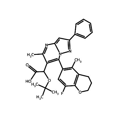 Cc1nc2cc(-c3ccccc3)nn2c(-c2cc(F)c3c(c2C)CCCO3)c1C(OC(C)(C)C)C(=O)O